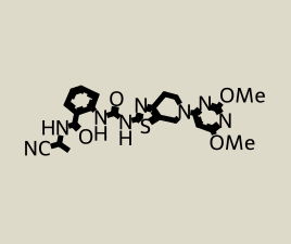 COc1cc(N2CCc3nc(NC(=O)Nc4ccccc4C(=O)NC(C)C#N)sc3C2)nc(OC)n1